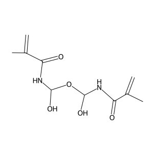 C=C(C)C(=O)NC(O)OC(O)NC(=O)C(=C)C